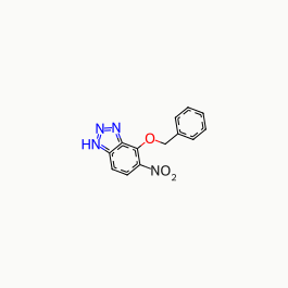 O=[N+]([O-])c1ccc2[nH]nnc2c1OCc1ccccc1